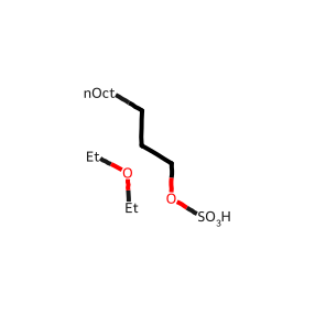 CCCCCCCCCCCOS(=O)(=O)O.CCOCC